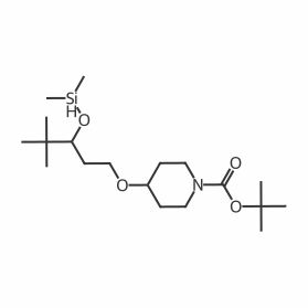 C[SiH](C)OC(CCOC1CCN(C(=O)OC(C)(C)C)CC1)C(C)(C)C